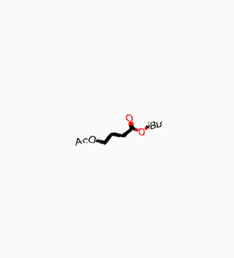 CCC(C)OC(=O)CCCOC(C)=O